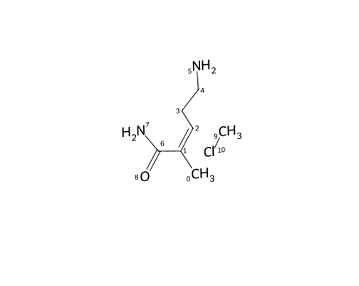 CC(=CCCN)C(N)=O.CCl